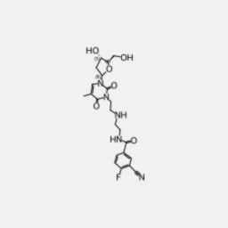 Cc1cn([C@H]2C[C@H](O)[C@@H](CO)O2)c(=O)n(CCNCCNC(=O)c2ccc(F)c(C#N)c2)c1=O